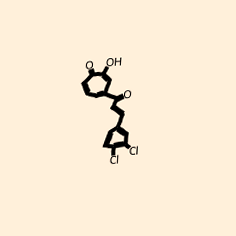 O=C(C=Cc1ccc(Cl)c(Cl)c1)c1cccc(=O)c(O)c1